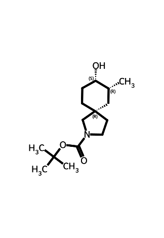 C[C@@H]1C[C@]2(CC[C@@H]1O)CCN(C(=O)OC(C)(C)C)C2